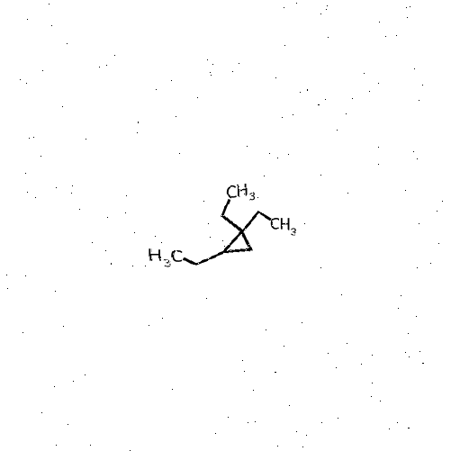 CCC1CC1(CC)CC